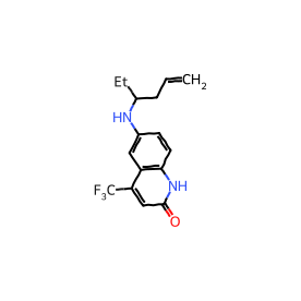 C=CCC(CC)Nc1ccc2[nH]c(=O)cc(C(F)(F)F)c2c1